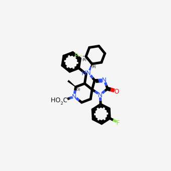 C[C@H]1C(Cc2ccccc2)C2(CCN1C(=O)O)C(N[C@@H]1CCCC[C@H]1F)=NC(=O)N2c1cccc(F)c1